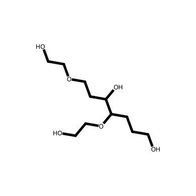 OCCCC(OCCO)C(O)CCOCCO